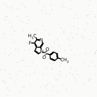 Cc1ccc(S(=O)(=O)n2ccc3c(F)c(C)ncc32)cc1